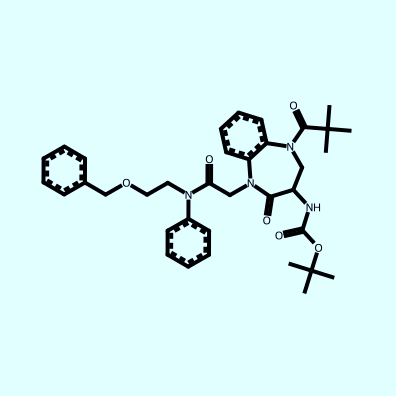 CC(C)(C)OC(=O)NC1CN(C(=O)C(C)(C)C)c2ccccc2N(CC(=O)N(CCOCc2ccccc2)c2ccccc2)C1=O